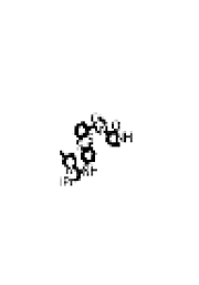 Cc1ccc(C(CC(C)C)Nc2ccc3c(c2)Sc2cccc(C4CN(c5ccc[nH]c5=O)CCO4)c2S3)nc1